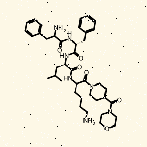 CC(C)C[C@@H](NC(=O)[C@@H](Cc1ccccc1)NC(=O)C(N)Cc1ccccc1)C(=O)N[C@H](CCCCN)C(=O)N1CCC(C(=O)N2CCOCC2)CC1